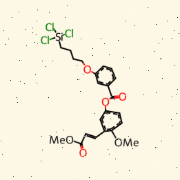 COC(=O)C=Cc1cc(OC(=O)c2cccc(OCCCC[Si](Cl)(Cl)Cl)c2)ccc1OC